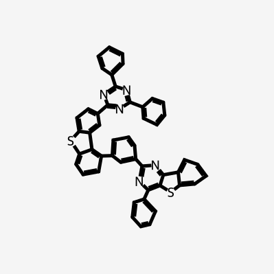 c1ccc(-c2nc(-c3ccccc3)nc(-c3ccc4sc5cccc(-c6cccc(-c7nc(-c8ccccc8)c8sc9ccccc9c8n7)c6)c5c4c3)n2)cc1